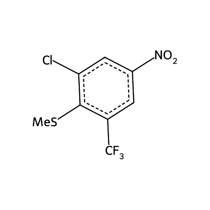 CSc1c(Cl)cc([N+](=O)[O-])cc1C(F)(F)F